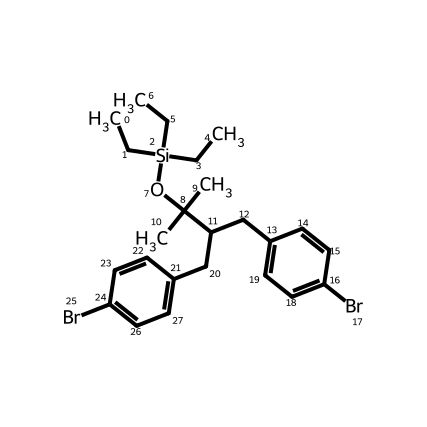 CC[Si](CC)(CC)OC(C)(C)C(Cc1ccc(Br)cc1)Cc1ccc(Br)cc1